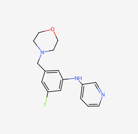 Fc1cc(CN2CCOCC2)cc(Nc2cccnc2)c1